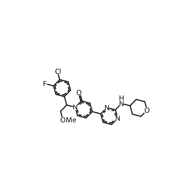 COCC(c1ccc(Cl)c(F)c1)n1ccc(-c2ccnc(NC3CCOCC3)n2)cc1=O